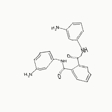 Nc1cccc(NC(=O)c2ccccc2C(=O)Nc2cccc(N)c2)c1